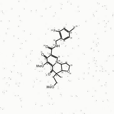 COCCC1(C)C(=O)c2c(OC)c(=O)c(C(=O)NCc3ccc(F)cc3F)cn2C2CCOC21